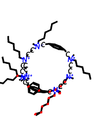 CCCCCC[N+]1(C)CC[N+]2(C)CC[N+](C)(CCCCCC)Cc3ccc(cc3)C[N+](C)(CCCCCC)CC[N+](CCCCCC)(CC[N+](C)(CCCCCC)Cc3ccc(cc3)C1)CC[N+](C)(CCCCCC)Cc1ccc(cc1)C[N+](C)(CCCCCC)CC2